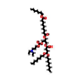 CCCCC/C=C\OC(=O)CCCCCCCC(=O)OCC(COC(=O)OCCCN(CC)CC)COC(O)CCC(OCCCCCCCC)OCCCCCCCC